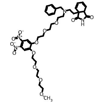 COCCOCCOCCOc1cc([N+](=O)[O-])c([N+](=O)[O-])cc1OCCOCCOCCN(CCC12C=CC=CC1C(=O)NC2=O)Cc1ccccc1